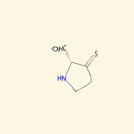 O=[C][C@H]1NCCC1=S